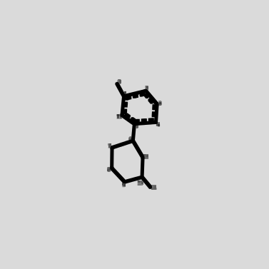 Cc1cccc(C2CCCC(C)C2)c1